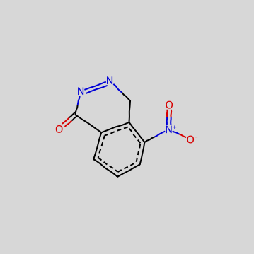 O=C1N=NCc2c1cccc2[N+](=O)[O-]